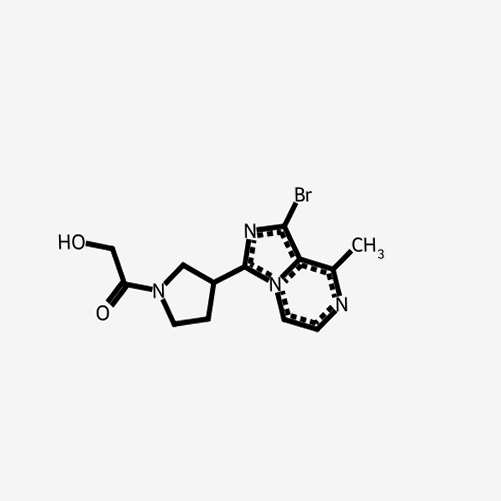 Cc1nccn2c(C3CCN(C(=O)CO)C3)nc(Br)c12